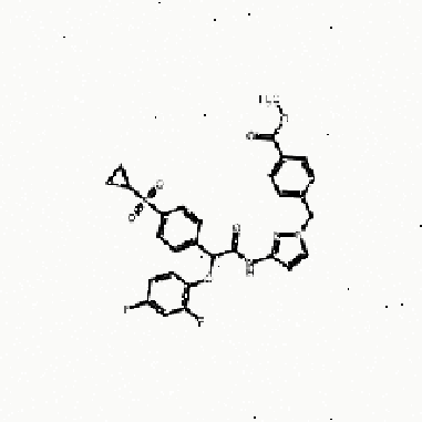 COC(=O)c1ccc(Cn2ccc(NC(=O)C(Oc3ccc(F)cc3F)c3ccc(S(=O)(=O)C4CC4)cc3)n2)cc1